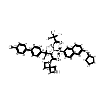 O=C([C@@H](N(OC(=O)C(F)(F)F)S(=O)(=O)c1ccc2cc(OC3CCCC3)ccc2c1)C(F)(F)c1ccc(-c2ccc(Cl)cc2)cc1)N1CCC12CNC2